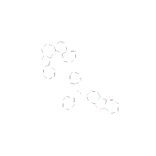 c1ccc(N(c2ccc(-c3ccc4ccc5ccc6oc7ccccc7c6c5c4c3)cc2)c2ccc3c(c2)oc2ccccc23)cc1